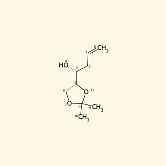 C=CC[C@@H](O)[C@H]1COC(C)(C)O1